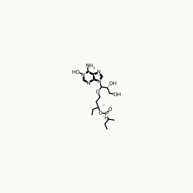 CCC(C)[PH](=O)O[C@@](C)(CC)CCOC([C@H](O)CO)n1cnc2c(N)[n+](O)cnc21